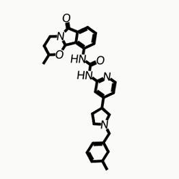 CC1C=CC=C(CN2CCC(c3ccnc(NC(=O)Nc4cccc5c4C4OC(C)CCN4C5=O)c3)C2)C1